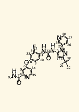 CNC(=O)c1cc(Oc2ccc(NC(=O)Nc3cc(C(C)(C)C)nn3-c3cccnc3)c(F)c2)ccn1